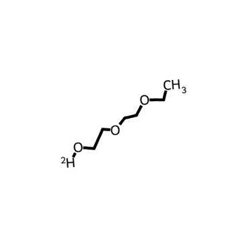 [2H]OCCOCCOCC